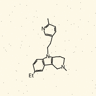 CCc1ccc2c(c1)c1c(n2CCc2ccc(C)nc2)CCN(C)C1